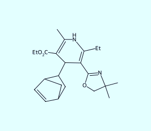 CCOC(=O)C1=C(C)NC(CC)=C(C2=NC(C)(C)CO2)C1C1CC2C=CC1C2